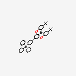 CC(C)(C)c1ccc2c(c1)B1c3cc(C(C)(C)C)ccc3Oc3cc(-c4ccc([Si](c5ccccc5)(c5ccccc5)c5ccccc5)cc4)cc(c31)O2